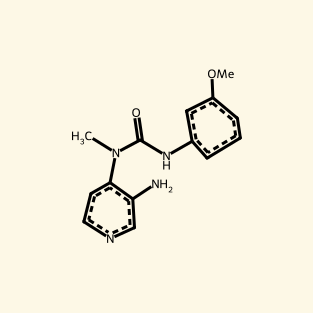 COc1cccc(NC(=O)N(C)c2ccncc2N)c1